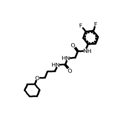 O=C(CNC(=O)NCCCOC1CCCCC1)Nc1ccc(F)c(F)c1